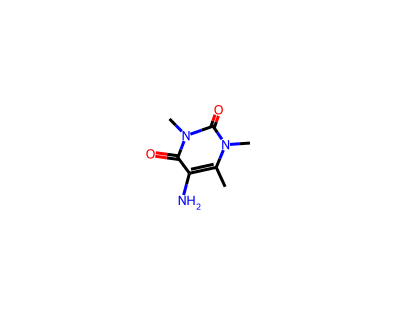 Cc1c(N)c(=O)n(C)c(=O)n1C